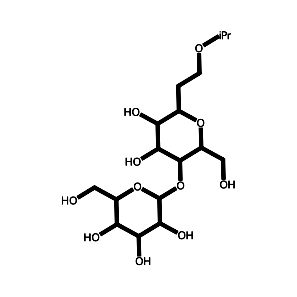 CC(C)OCCC1OC(CO)C(OC2OC(CO)C(O)C(O)C2O)C(O)C1O